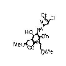 CCn1nc(N=Nc2c(O)c(CC(=O)OC)c(=O)n(CCOC)c2O)cc1Cl